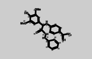 COc1cc(C(Nc2ccc(C(=N)N)cc2)C(=O)NNc2ccccn2)cc(OC)c1O